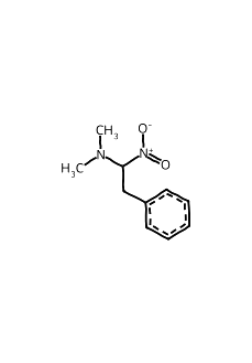 CN(C)C(Cc1ccccc1)[N+](=O)[O-]